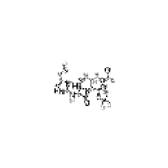 CSCc1c[nH]c(NC2C(=O)N3C(C(=O)OC(C)(C)C)=C(COC(C)=O)CS[C@H]23)n1